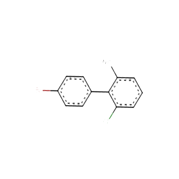 N#Cc1cccc(Cl)c1-c1ccc(Br)cc1